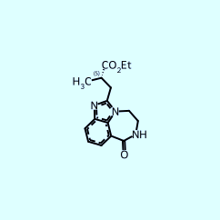 CCOC(=O)[C@@H](C)Cc1nc2cccc3c2n1CCNC3=O